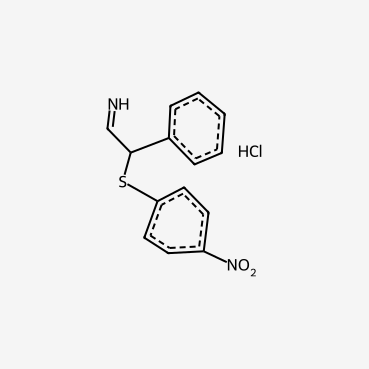 Cl.N=CC(Sc1ccc([N+](=O)[O-])cc1)c1ccccc1